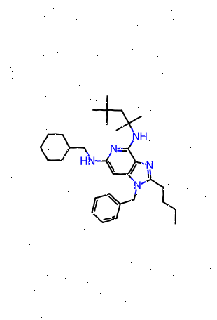 CCCCc1nc2c(NC(C)(C)CC(C)(C)C)nc(NCC3CCCCC3)cc2n1Cc1ccccc1